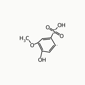 COc1cc(S(=O)(=O)O)[c]cc1O